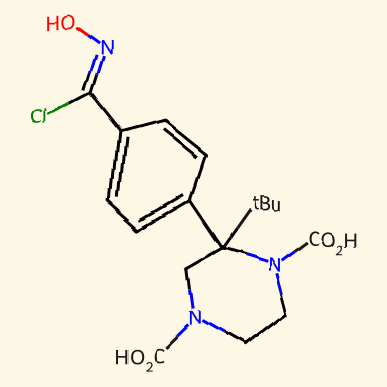 CC(C)(C)C1(c2ccc(C(Cl)=NO)cc2)CN(C(=O)O)CCN1C(=O)O